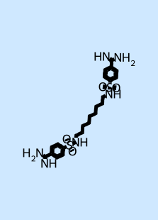 N=C(N)c1ccc(S(=O)(=O)NCCCCCCCCCNS(=O)(=O)c2ccc(C(=N)N)cc2)cc1